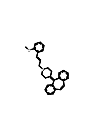 COc1ccccc1C=CCN1CCC(=C2c3ccccc3C=Cc3ccccc32)CC1